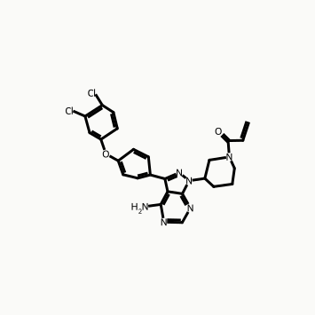 C=CC(=O)N1CCCC(n2nc(-c3ccc(Oc4ccc(Cl)c(Cl)c4)cc3)c3c(N)ncnc32)C1